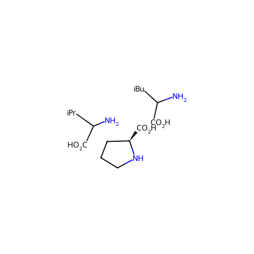 CC(C)C(N)C(=O)O.CCC(C)C(N)C(=O)O.O=C(O)[C@@H]1CCCN1